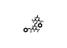 CC1N=C(Nc2ccccc2)N(CCC2N=C(NCc3ccccc3)N(C)C(N(C)C)=N2)C(N(C)C)=N1